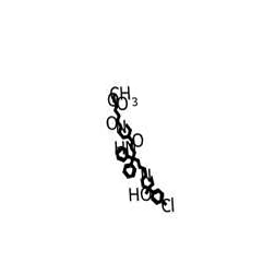 COC(=O)CCC(=O)N1CCC(C(=O)NCC(CCCN2CCC(O)(c3ccc(Cl)cc3)CC2)(c2ccccc2)c2ccccc2)CC1